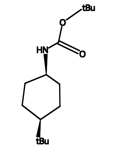 CC(C)(C)OC(=O)N[C@H]1CC[C@@H](C(C)(C)C)CC1